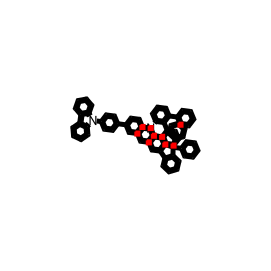 c1ccc(-c2ccccc2-c2c(-c3ccccc3)cccc2N(c2ccc(-c3ccc(-n4c5ccccc5c5ccccc54)cc3)cc2)c2ccc3c(c2)C(c2ccccc2)(c2ccccc2)c2ccccc2-3)cc1